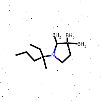 BC1N(C(C)(CC)CCC)CCC1(B)B